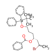 C=C(Br)C[C@@H](CCCO[Si](c1ccccc1)(c1ccccc1)C(C)(C)C)OC(=O)c1ccccc1